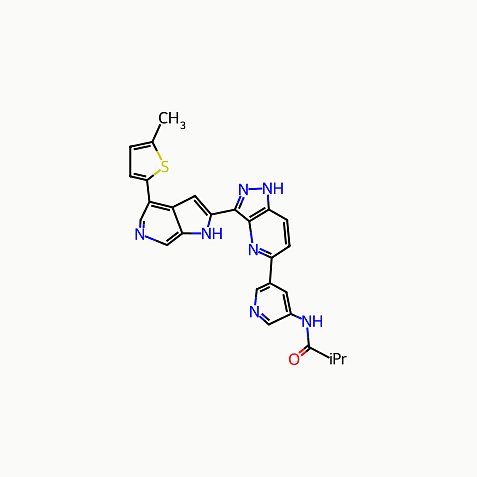 Cc1ccc(-c2cncc3[nH]c(-c4n[nH]c5ccc(-c6cncc(NC(=O)C(C)C)c6)nc45)cc23)s1